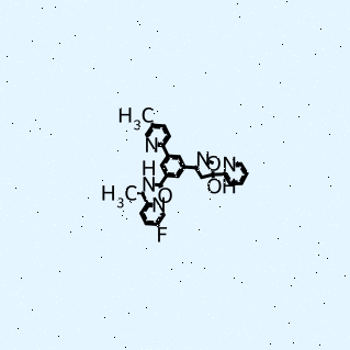 Cc1ccc(-c2cc(C(=O)N[C@H](C)c3ccc(F)cn3)cc(C3=NOC(O)(c4ccccn4)C3)c2)nc1